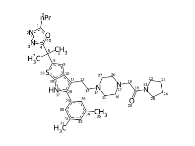 CCCc1nnc(C(C)(C)c2cc3c(CCN4CCN(CC(=O)N5CCCC5)CC4)c(-c4cc(C)cc(C)c4)[nH]c3s2)o1